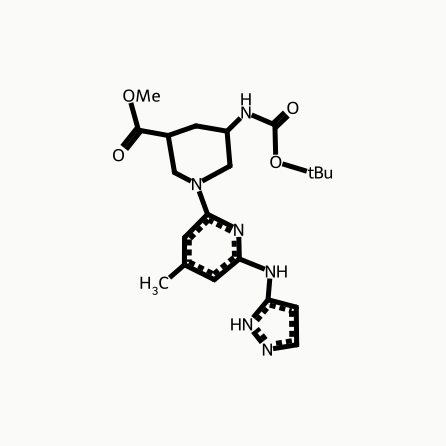 COC(=O)C1CC(NC(=O)OC(C)(C)C)CN(c2cc(C)cc(Nc3ccn[nH]3)n2)C1